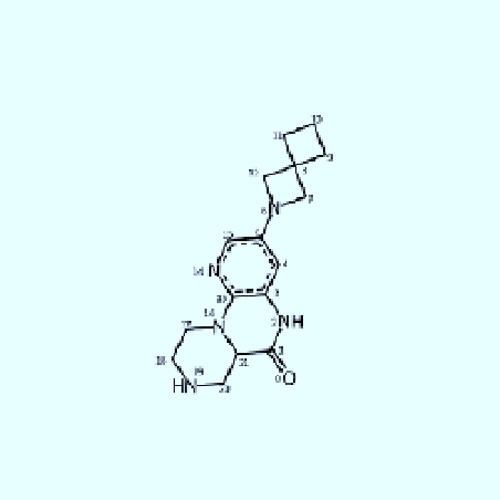 O=C1Nc2cc(N3CC4(CCC4)C3)cnc2N2CCNCC12